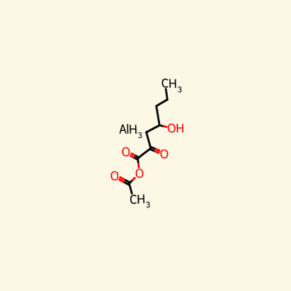 CCCC(O)CC(=O)C(=O)OC(C)=O.[AlH3]